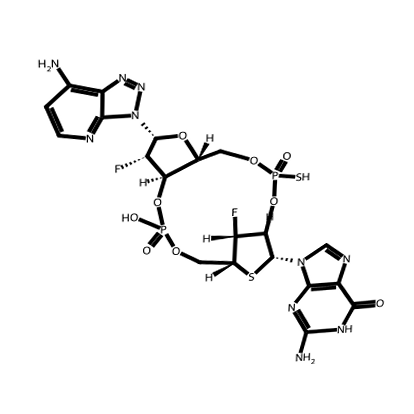 Nc1nc2c(ncn2[C@@H]2S[C@@H]3COP(=O)(O)O[C@H]4[C@H](F)[C@H](n5nnc6c(N)ccnc65)O[C@@H]4COP(=O)(S)O[C@@H]2[C@H]3F)c(=O)[nH]1